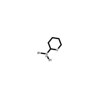 CC(C)[SiH](C(C)C)C1CCCCO1